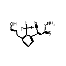 N#CC(=CC(=S)SN)c1cccc(CC=CO)c1C(F)(F)F